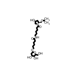 CC(C)OC[C@@H]1C[C@@H](O)CN1C(=O)CCCCCNC(=O)CCCCCO[C@H]1CC(O)[C@@H](O)C(CO)O1